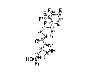 O=C(O)N1Cc2[nH]nc(C(=O)N3CCC(c4ccc(F)c(F)c4C(F)(F)F)CC3)c2C1